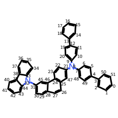 c1ccc(-c2ccc(N(c3ccc(-c4ccccc4)cc3)c3ccc4c(ccc5ccc(-n6c7ccccc7c7ccccc76)cc54)c3)cc2)cc1